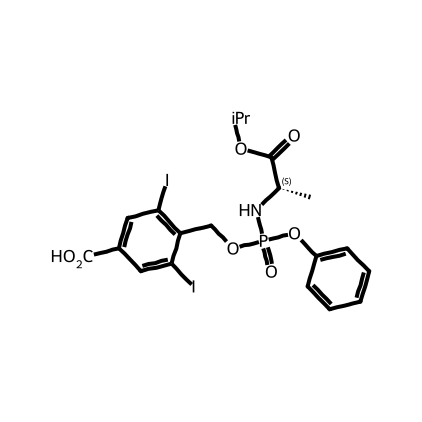 CC(C)OC(=O)[C@H](C)NP(=O)(OCc1c(I)cc(C(=O)O)cc1I)Oc1ccccc1